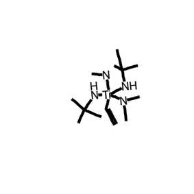 C=[CH][Ti]([NH]C(C)(C)C)([NH]C(C)(C)C)([N](C)C)[N](C)C